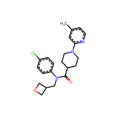 Cc1ccnc(N2CCC(C(=O)N(CC3COC3)c3ccc(Cl)cc3)CC2)c1